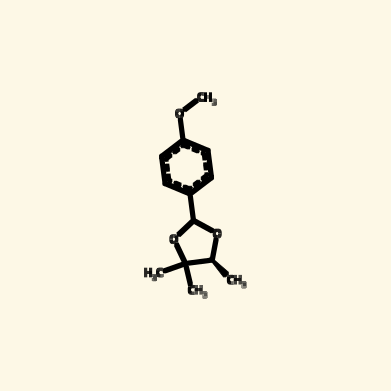 COc1ccc(C2O[C@@H](C)C(C)(C)O2)cc1